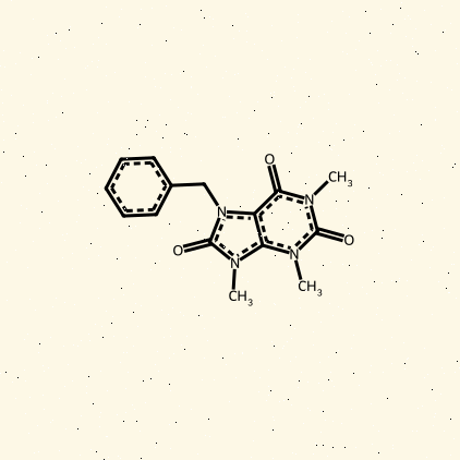 Cn1c(=O)c2c(n(C)c1=O)n(C)c(=O)n2Cc1ccccc1